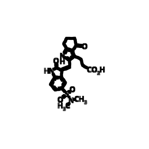 CN(C)S(=O)(=O)c1ccc2c(c1)/C(=C/c1[nH]c3c(c1CCC(=O)O)C(=O)CCC3)C(=O)N2